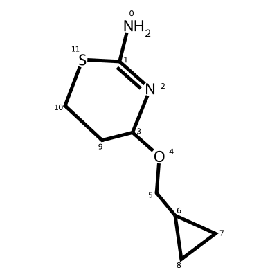 NC1=NC(OCC2CC2)CCS1